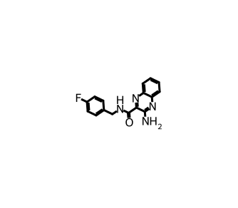 Nc1nc2ccccc2nc1C(=O)NCc1ccc(F)cc1